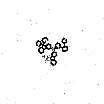 CC1(C)c2ccccc2-c2ccc(N(c3cccc(-c4ccccc4-c4ccccc4)c3)c3ccc4c(c3)-c3ccccc3C4(c3ccccc3)c3ccccc3)cc21